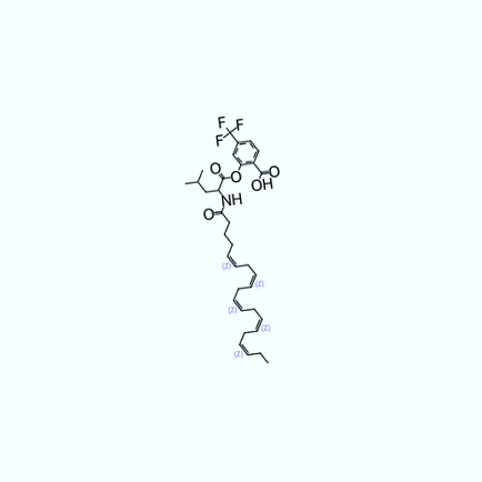 CC/C=C\C/C=C\C/C=C\C/C=C\C/C=C\CCCC(=O)NC(CC(C)C)C(=O)Oc1cc(C(F)(F)F)ccc1C(=O)O